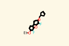 CCOc1ccc2c(oc3c(F)c(OCC4CC=CC4)ccc32)c1F